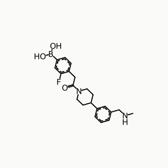 CNCc1cccc(C2CCN(C(=O)Cc3ccc(B(O)O)cc3F)CC2)c1